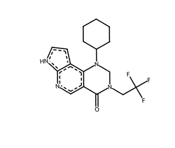 O=C1c2cnc3[nH]ccc3c2N(C2CCCCC2)CN1CC(F)(F)F